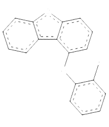 Ic1ccccc1Oc1cccc2oc3ccccc3c12